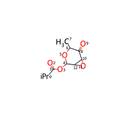 CC(C)C(=O)OC1OC(C)C(=O)C2OC12